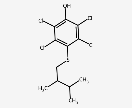 CC(C)C(C)CSc1c(Cl)c(Cl)c(O)c(Cl)c1Cl